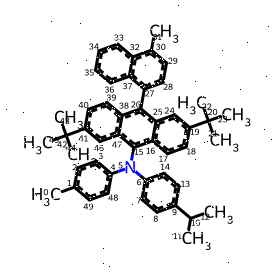 Cc1ccc(N(c2ccc(C(C)C)cc2)c2c3ccc(C(C)(C)C)cc3c(-c3ccc(C)c4ccccc34)c3ccc(C(C)(C)C)cc23)cc1